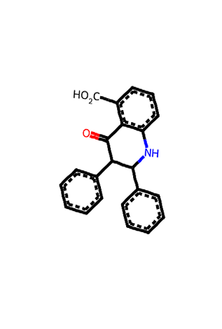 O=C(O)c1cccc2c1C(=O)C(c1ccccc1)C(c1ccccc1)N2